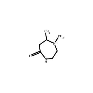 CC1CC(=O)NCCN1P